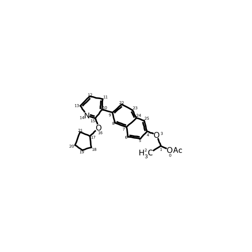 CC(=O)OC(C)Oc1ccc2cc(-c3cccnc3OC3CCCC3)ccc2c1